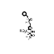 NC(=O)C(=O)Nc1sc(CNC(=O)OCc2ccccc2)cc1C(=O)O